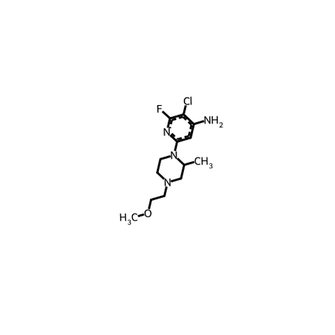 COCCN1CCN(c2cc(N)c(Cl)c(F)n2)C(C)C1